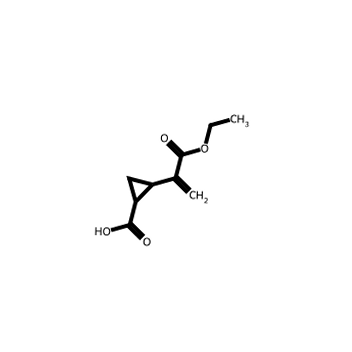 C=C(C(=O)OCC)C1CC1C(=O)O